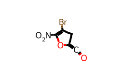 O=C=C1CC(Br)=C([N+](=O)[O-])O1